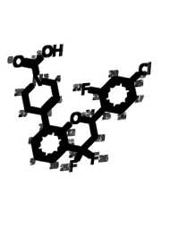 O=C(O)N1CC=C(c2cccc3c2OC(c2ccc(Cl)cc2F)CC3(F)F)CC1